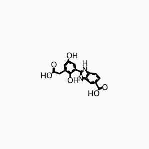 O=C(O)Cc1cc(O)cc(-c2nc3cc(C(=O)O)ccc3[nH]2)c1O